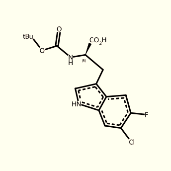 CC(C)(C)OC(=O)N[C@H](Cc1c[nH]c2cc(Cl)c(F)cc12)C(=O)O